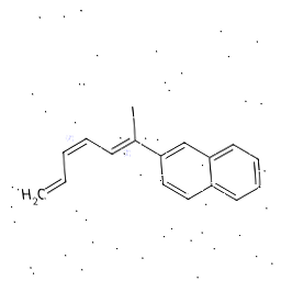 C=C/C=C\C=C(/I)c1ccc2ccccc2c1